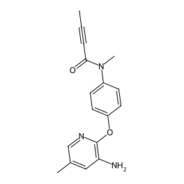 CC#CC(=O)N(C)c1ccc(Oc2ncc(C)cc2N)cc1